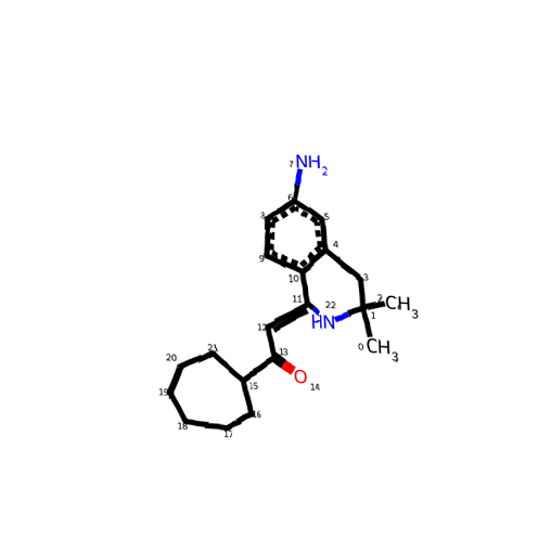 CC1(C)Cc2cc(N)ccc2C(=CC(=O)C2CCCCCC2)N1